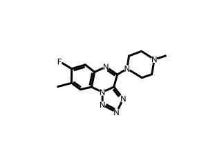 Cc1cc2c(cc1F)nc(N1CCN(C)CC1)c1nnnn12